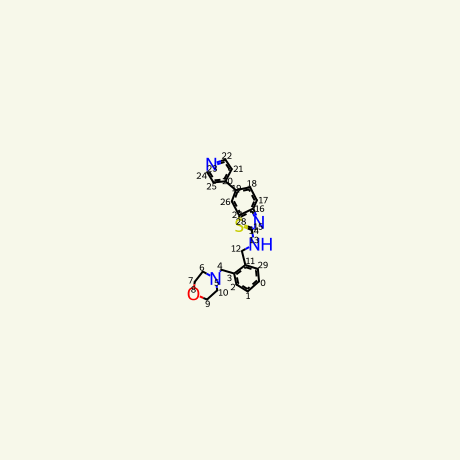 c1ccc(CN2CCOCC2)c(CNc2nc3ccc(-c4ccncc4)cc3s2)c1